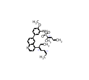 C=C/C=C(\C)S(=O)(=O)Nc1cc(-c2ccc3nccc(/C(C=C)=C/C=C\C)c3c2)ccc1OC